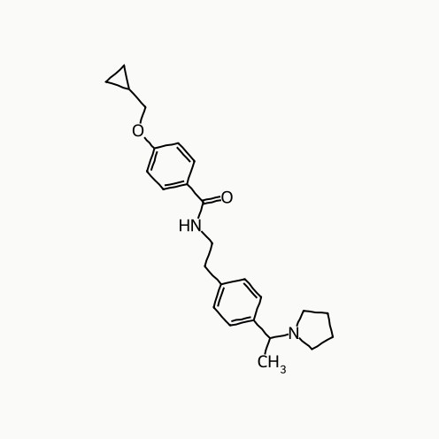 CC(c1ccc(CCNC(=O)c2ccc(OCC3CC3)cc2)cc1)N1CCCC1